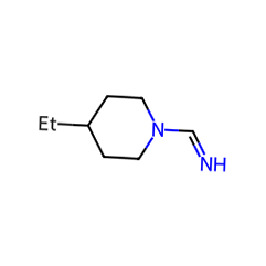 [CH2]CC1CCN(C=N)CC1